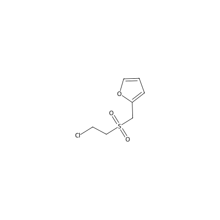 O=S(=O)(CCCl)Cc1ccco1